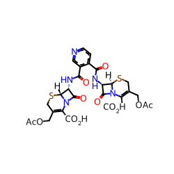 CC(=O)OCC1=C(C(=O)O)N2C(=O)[C@@H](NC(=O)c3ccncc3C(=O)N[C@@H]3C(=O)N4C(C(=O)O)=C(COC(C)=O)CS[C@H]34)[C@H]2SC1